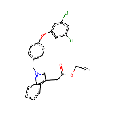 CCOC(=O)Cc1cn(Cc2ccc(Oc3cc(Cl)cc(Cl)c3)cc2)c2ccccc12